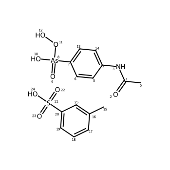 CC(=O)Nc1ccc([As](=O)(O)OO)cc1.Cc1cccc(S(=O)(=O)O)c1